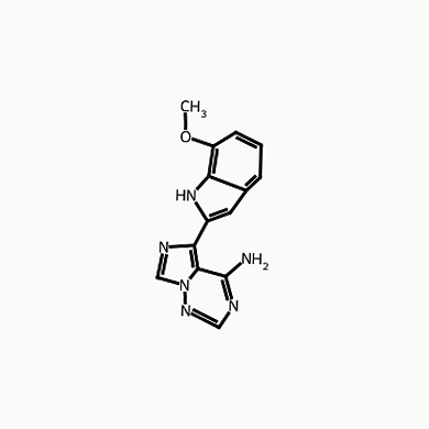 COc1cccc2cc(-c3ncn4ncnc(N)c34)[nH]c12